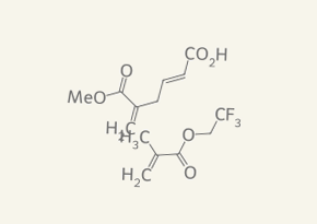 C=C(C)C(=O)OCC(F)(F)F.C=C(CC=CC(=O)O)C(=O)OC